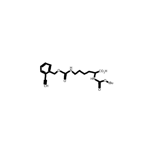 C#Cc1ccccc1COC(=O)NCCCCC(NC(=O)OC(C)(C)C)C(=O)O